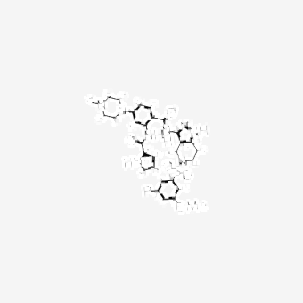 COc1cc(F)cc(S(=O)(=O)N2CCc3[nH]nc(NC(=O)c4ccc(N5CCN(C)CC5)cc4NC(=O)c4ccc[nH]4)c3C2)c1